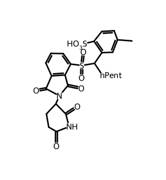 CCCCCC(c1cc(C)ccc1S(=O)(=O)O)S(=O)(=O)c1cccc2c1C(=O)N(C1CCC(=O)NC1=O)C2=O